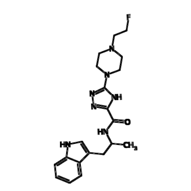 CC(Cc1c[nH]c2ccccc12)NC(=O)c1nnc(N2CCN(CCF)CC2)[nH]1